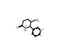 O=C1CCC([N+](=O)[O-])C(c2cccnc2)N1